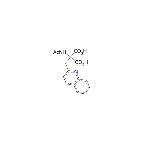 CC(=O)NC(Cc1ccc2ccccc2n1)(C(=O)O)C(=O)O